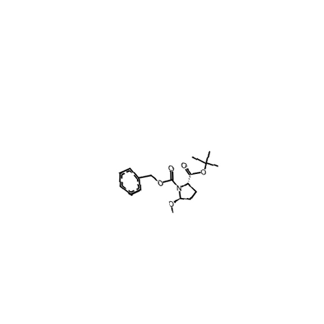 CO[C@@H]1CC[C@@H](C(=O)OC(C)(C)C)N1C(=O)OCc1ccccc1